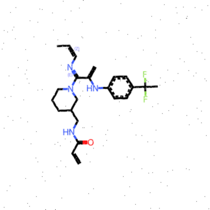 C=CC(=O)NCC1CCCN(/C(=N/C=C\C)C(=C)Nc2ccc(C(C)(F)F)cc2)C1